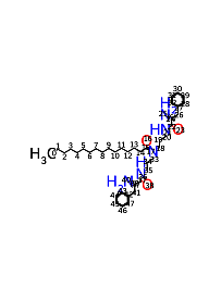 CCCCCCCCCCCCCCCC(=O)N(CCCNC(=O)[C@@H](N)Cc1ccccc1)CCCNC(=O)[C@@H](N)Cc1ccccc1